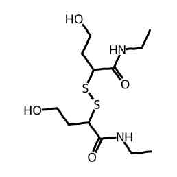 CCNC(=O)C(CCO)SSC(CCO)C(=O)NCC